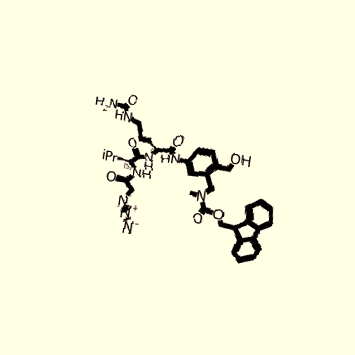 CC(C)[C@H](NC(=O)CN=[N+]=[N-])C(=O)N[C@@H](CCCNC(N)=O)C(=O)Nc1ccc(CO)c(CN(C)C(=O)OCC2c3ccccc3-c3ccccc32)c1